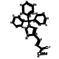 COC(=O)C=Cc1cn(C(c2ccccc2)(c2ccccc2)c2ccccc2)cn1